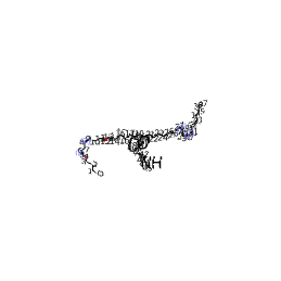 CCCCC/C=C\C/C=C\CCCCCCCCC(CCCCCCCC/C=C\C/C=C\CCCCCC)OC(=O)CCCNC